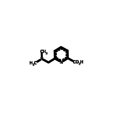 CN(C)Cc1cccc(C(=O)O)n1